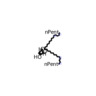 CCCCC/C=C\C/C=C\CCCCCCCCC1(CCCCCCCC/C=C\C/C=C\CCCCC)O[C@@H]2C3CC(O)C(C3)[C@H]2O1